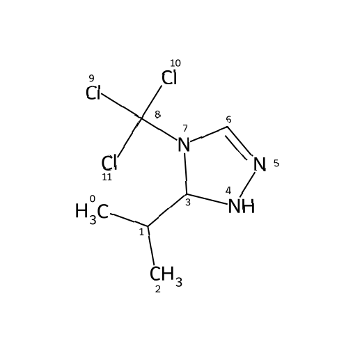 CC(C)C1NN=CN1C(Cl)(Cl)Cl